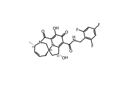 C[C@H]1C=CC[C@]23C[C@@H](O)c4c(C(=O)NCc5c(F)cc(F)cc5F)c(=O)c(O)c(n42)C(=O)N1C3